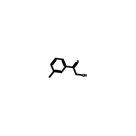 Cc1cccc(C(=S)CO)c1